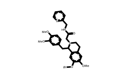 COc1ccc(CC2c3cc(OC(C)C)c(OC)cc3CCN2CC(=O)NCc2ccccn2)cc1OC